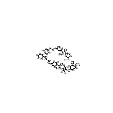 CC(C)C(C(=O)N1CC[C@@H](O)C1)c1cc(CCCN2CCN(C3CCCCC3OCCOc3ccc(C(=O)N[C@H]4C(C)(C)[C@H](Oc5ccc(C#N)c(Cl)c5)C4(C)C)cc3)CC2)no1